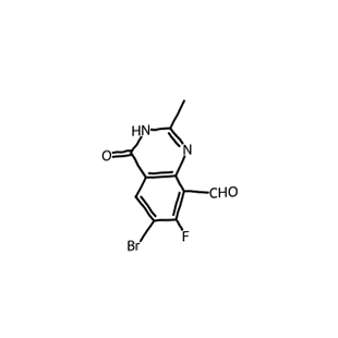 Cc1nc2c(C=O)c(F)c(Br)cc2c(=O)[nH]1